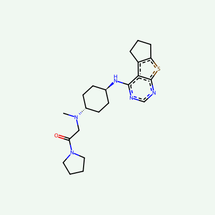 CN(CC(=O)N1CCCC1)[C@H]1CC[C@H](Nc2ncnc3sc4c(c23)CCC4)CC1